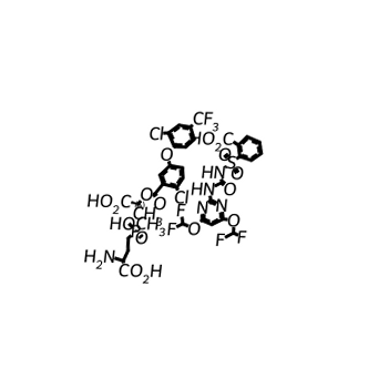 CP(=O)(O)CCC(N)C(=O)O.C[C@H](OC(=O)c1cc(Oc2ccc(C(F)(F)F)cc2Cl)ccc1Cl)C(=O)O.O=C(Nc1nc(OC(F)F)cc(OC(F)F)n1)NS(=O)(=O)c1ccccc1C(=O)O